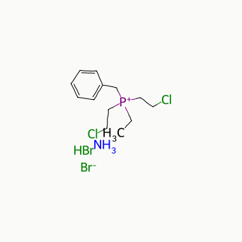 Br.CC[P+](CCCl)(CCCl)Cc1ccccc1.N.[Br-]